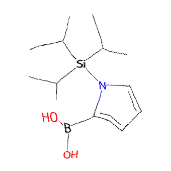 CC(C)[Si](C(C)C)(C(C)C)n1cccc1B(O)O